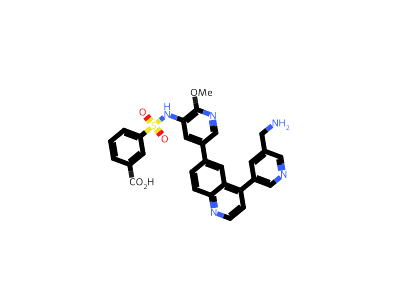 COc1ncc(-c2ccc3nccc(-c4cncc(CN)c4)c3c2)cc1NS(=O)(=O)c1cccc(C(=O)O)c1